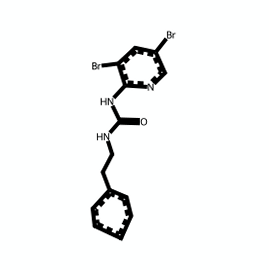 O=C(NCCc1ccccc1)Nc1ncc(Br)cc1Br